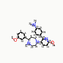 COc1cccc(C2CCN(c3ccc(OC)nc3-c3ccc(N(C)C)cc3)CCN2C)c1